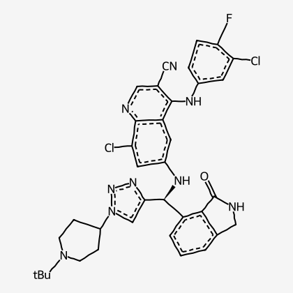 CC(C)(C)N1CCC(n2cc([C@@H](Nc3cc(Cl)c4ncc(C#N)c(Nc5ccc(F)c(Cl)c5)c4c3)c3cccc4c3C(=O)NC4)nn2)CC1